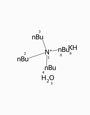 CCCC[N+](CCCC)(CCCC)CCCC.O.[KH]